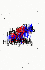 CC(C)C[C@H](NC(=O)[C@H](Cc1ccc(OC(C)(C)C)cc1)NC(=O)[C@H](COC(C)(C)C)NC(=O)[C@H](COC(C)(C)C)NC(=O)[C@@H](NC(=O)[C@H](CC(=O)OC(C)(C)C)NC(=O)OCC1c2ccccc2-c2ccccc21)C(C)C)C(=O)N[C@@H](CCC(=O)OC(C)(C)C)C(=O)NCC(=O)N[C@@H](CCC(=O)NC(c1ccccc1)(c1ccccc1)c1ccccc1)C(=O)N[C@@H](C)C(=O)N[C@@H](C)C(=O)N[C@@H](CCCCN)C(=O)O